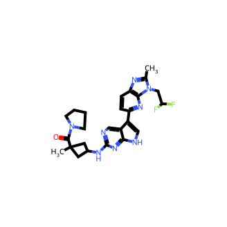 Cc1nc2ccc(-c3c[nH]c4nc(NC5CC(C)(C(=O)N6CCCC6)C5)ncc34)nc2n1CC(F)F